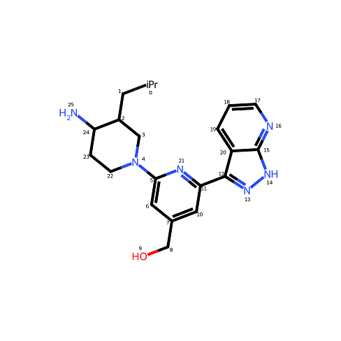 CC(C)CC1CN(c2cc(CO)cc(-c3n[nH]c4ncccc34)n2)CCC1N